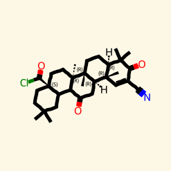 CC1(C)CC[C@]2(C(=O)Cl)CC[C@]3(C)C(C(=O)C[C@@H]4[C@@]5(C)C=C(C#N)C(=O)C(C)(C)[C@@H]5CC[C@]43C)C2C1